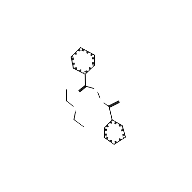 CCOCC.O=C(OOC(=O)c1ccccc1)c1ccccc1